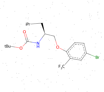 CC(C)C[C@@H](COc1ccc(Br)cc1C(F)(F)F)NC(=O)OC(C)(C)C